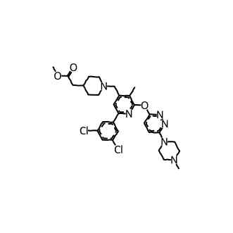 COC(=O)CC1CCN(Cc2cc(-c3cc(Cl)cc(Cl)c3)nc(Oc3ccc(N4CCN(C)CC4)nn3)c2C)CC1